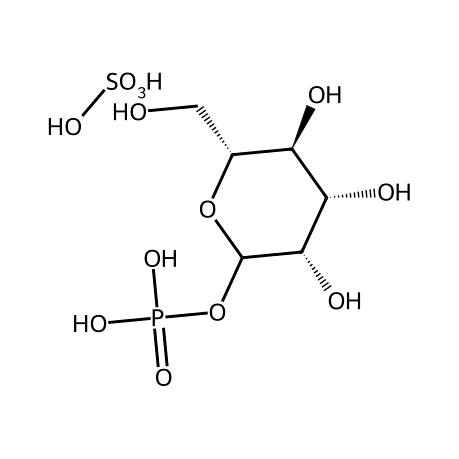 O=P(O)(O)OC1O[C@H](CO)[C@@H](O)[C@H](O)[C@@H]1O.O=S(=O)(O)O